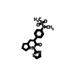 CN(c1ccc(C(CC2CCCC2)C(=O)Nc2nccs2)cc1)S(C)(=O)=O